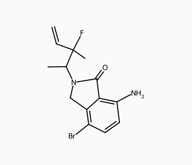 C=CC(C)(F)C(C)N1Cc2c(Br)ccc(N)c2C1=O